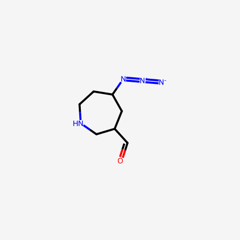 [N-]=[N+]=NC1CCNCC(C=O)C1